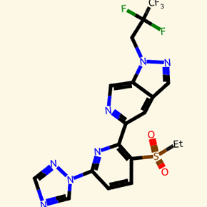 CCS(=O)(=O)c1ccc(-n2cncn2)nc1-c1cc2cnn(CC(F)(F)C(F)(F)F)c2cn1